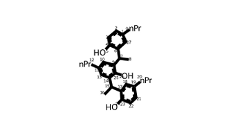 CCCc1ccc(O)c(C(C)c2cc(CCC)cc(C(C)c3cc(CCC)ccc3O)c2O)c1